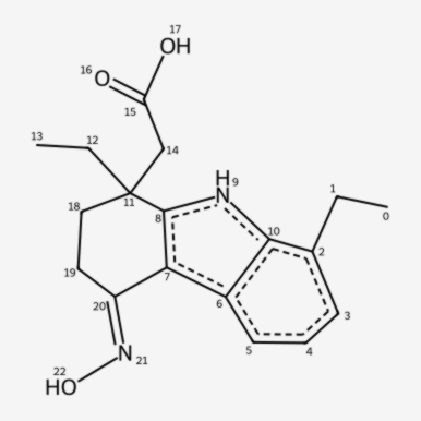 CCc1cccc2c3c([nH]c12)C(CC)(CC(=O)O)CC/C3=N\O